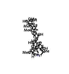 CC#C/C=C\C#C[C@H](OC1OC(C)C(NOC2CC(O)C(SC(=O)c3c(C)c(I)c(OC4OC(C)C(O)C(OC)C4O)c(OC)c3OC)C(C)O2)C(O)C1OC1CC(OC)C(NCC)CO1)C1=CC(=O)C[C@H](O)C1=CSC